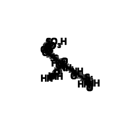 N=NNc1ccc(C(=O)NC(CCCCNC(=O)CCCCC2SCC3NC(=O)NC32)C(=O)NCCSSCCC(=O)ON2C(=O)CC(S(=O)(=O)O)C2=O)cc1